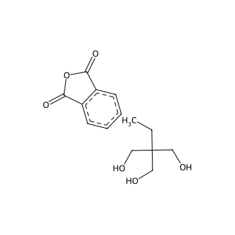 CCC(CO)(CO)CO.O=C1OC(=O)c2ccccc21